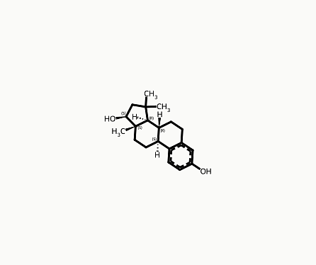 CC1(C)C[C@H](O)[C@@]2(C)CC[C@@H]3c4ccc(O)cc4CC[C@H]3[C@H]12